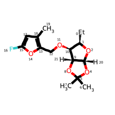 CC[C@H]1O[C@@H]2OC(C)(C)O[C@@H]2[C@H]1OCc1oc(F)cc1C